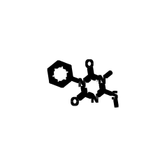 CSc1nc(=O)n(-c2ccccc2)c(=O)n1C